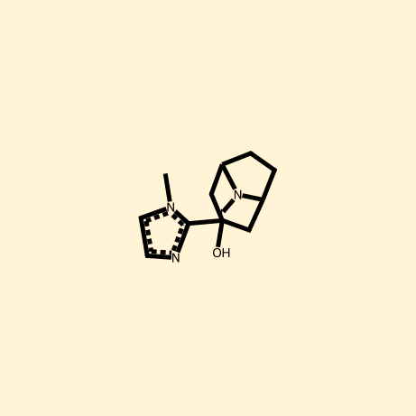 Cn1ccnc1C1(O)CC2CCC(C1)N2I